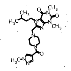 CC(C)CCn1c(CN2CCN(C(=O)c3cnn(C)c3)CC2)nc2c1c(=O)n(C)c(=O)n2C